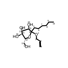 C=CCOC1(CCCCCC)O[C@H](CO)[C@@H](O)[C@H](O)[C@H]1O